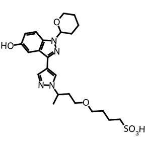 CC(CCOCCCCS(=O)(=O)O)n1cc(-c2nn(C3CCCCO3)c3ccc(O)cc23)cn1